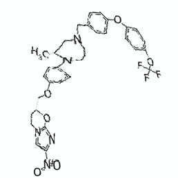 C[C@@H]1CN(Cc2ccc(Oc3ccc(OC(F)(F)F)cc3)cc2)CCN1c1ccc(OC[C@H]2CCn3cc([N+](=O)[O-])nc3O2)cc1